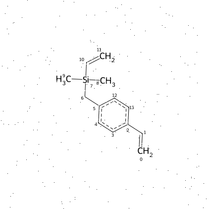 C=Cc1ccc(C[Si](C)(C)C=C)cc1